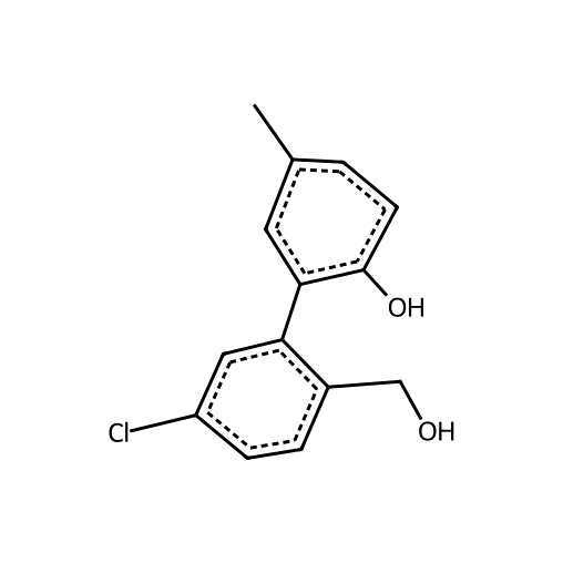 Cc1ccc(O)c(-c2cc(Cl)ccc2CO)c1